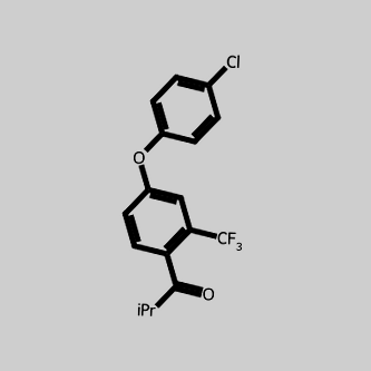 CC(C)C(=O)c1ccc(Oc2ccc(Cl)cc2)cc1C(F)(F)F